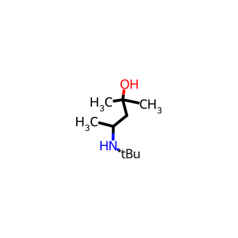 CC(CC(C)(C)O)NC(C)(C)C